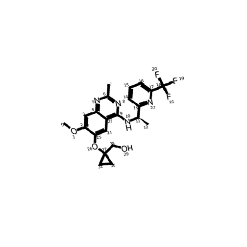 COc1cc2nc(C)nc(N[C@H](C)c3cccc(C(F)(F)F)n3)c2cc1OC1(CO)CC1